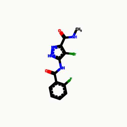 CNC(=O)c1n[nH]c(NC(=O)c2ccccc2F)c1Br